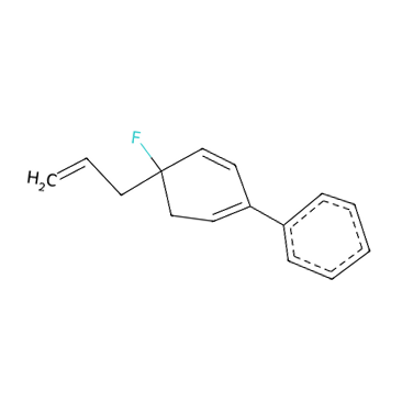 C=CCC1(F)C=CC(c2ccccc2)=CC1